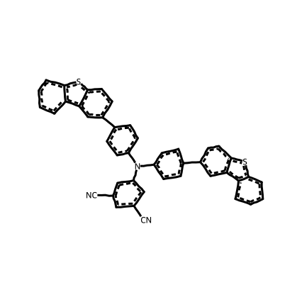 N#Cc1cc(C#N)cc(N(c2ccc(-c3ccc4sc5ccccc5c4c3)cc2)c2ccc(-c3ccc4sc5ccccc5c4c3)cc2)c1